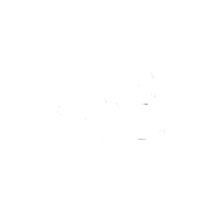 COC(=O)[C@H](CSCC(=O)C(=O)OCC(C)(CO[N+](=O)[O-])CO[N+](=O)[O-])NC(=O)CC[C@H](N)C(=O)O